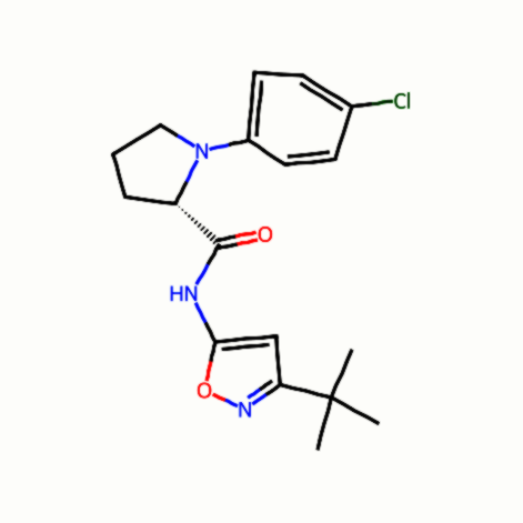 CC(C)(C)c1cc(NC(=O)[C@@H]2CCCN2c2ccc(Cl)cc2)on1